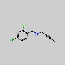 CC#CC/N=C/c1ccc(Cl)cc1Cl